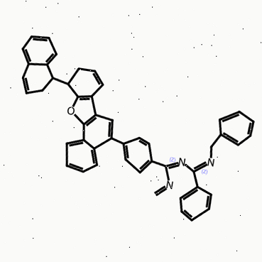 C=N/C(=N\C(=N/Cc1ccccc1)c1ccccc1)c1ccc(-c2cc3c4c(oc3c3ccccc23)C(C2CC=Cc3ccccc32)CC=C4)cc1